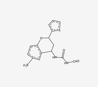 Bc1ccc2c(c1)C(NC(=O)NC=O)CC(c1cccs1)O2